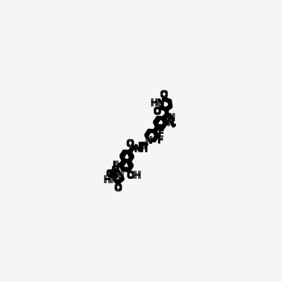 Cn1nc(C2CCC(=O)NC2=O)c2ccc(C3CCN(CCNC(=O)c4ccc5c(F)c(N6CC(=O)NS6(=O)=O)c(O)cc5c4)CC3(F)F)cc21